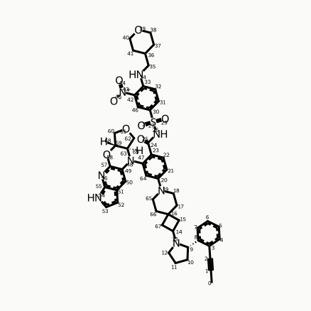 CC#Cc1ccccc1[C@@H]1CCCN1C1CC2(CCN(c3ccc(C(=O)NS(=O)(=O)c4ccc(NCC5CCOCC5)c([N+](=O)[O-])c4)c(N4c5cc6cc[nH]c6nc5O[C@@H]5COC[C@H]54)c3)CC2)C1